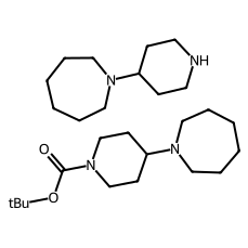 C1CCCN(C2CCNCC2)CC1.CC(C)(C)OC(=O)N1CCC(N2CCCCCC2)CC1